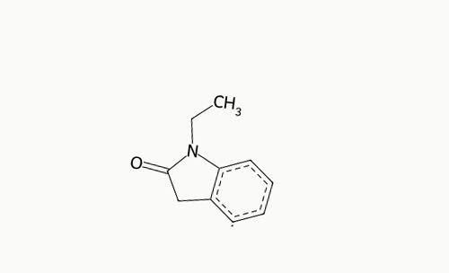 CCN1C(=O)Cc2[c]cccc21